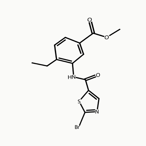 CCc1ccc(C(=O)OC)cc1NC(=O)c1cnc(Br)s1